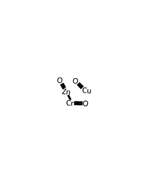 [O]=[Cr][Zn]=[O].[O]=[Cu]